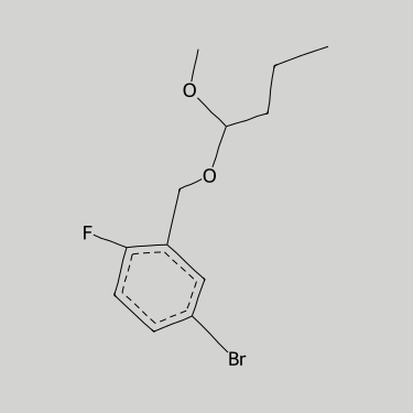 CCCC(OC)OCc1cc(Br)ccc1F